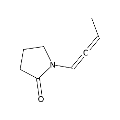 CC=C=CN1CCCC1=O